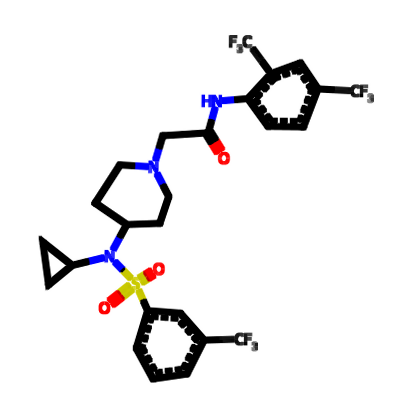 O=C(CN1CCC(N(C2CC2)S(=O)(=O)c2cccc(C(F)(F)F)c2)CC1)Nc1ccc(C(F)(F)F)cc1C(F)(F)F